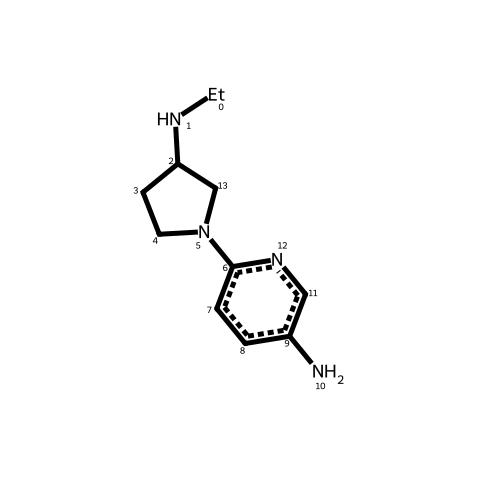 CCNC1CCN(c2ccc(N)cn2)C1